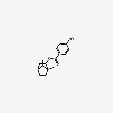 CC1C2CCC1(C)C(OC(=O)c1ccc([N+](=O)[O-])cc1)C2